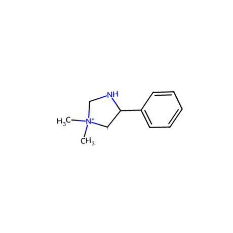 C[N+]1(C)[CH]C(c2ccccc2)NC1